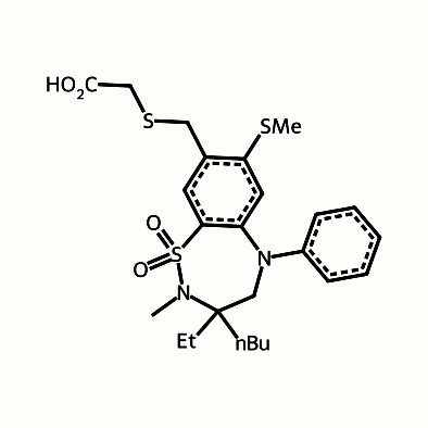 CCCCC1(CC)CN(c2ccccc2)c2cc(SC)c(CSCC(=O)O)cc2S(=O)(=O)N1C